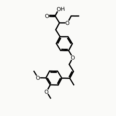 CCOC(Cc1ccc(OCC=C(C)c2ccc(OC)c(OC)c2)cc1)C(=O)O